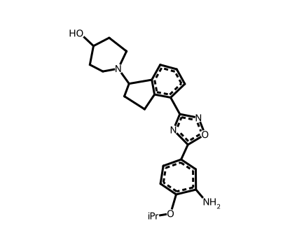 CC(C)Oc1ccc(-c2nc(-c3cccc4c3CCC4N3CCC(O)CC3)no2)cc1N